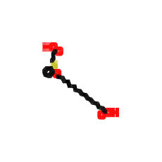 O=C(O)CCCCCCCCCCCCCCCCOc1ccccc1SCCCC(=O)O